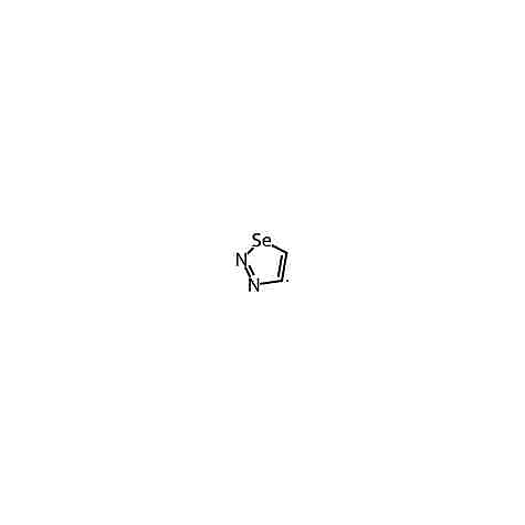 [c]1c[se]nn1